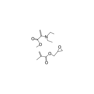 C=C(C(=O)OC)N(CC)CC.C=C(C)C(=O)OCC1CO1